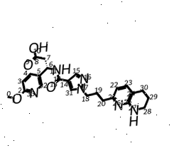 COc1ccc([C@H](CC(=O)O)NC(=O)c2cnn(CCCc3ccc4c(n3)NCCC4)c2)cn1